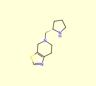 c1nc2c(s1)CN(C[C@@H]1CCCN1)CC2